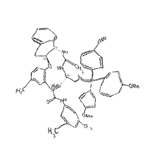 C=C(N[C@H]1c2ccccc2C[C@@H]1Oc1ccc(C)cc1NC(=O)Nc1cc(C)cc(C(F)(F)F)c1)N[C@H](CN=P(c1ccc(OC)cc1)(c1ccc(OC)cc1)c1ccc(OC)cc1)C(C)(C)C